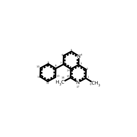 Cc1cc2nccc(-c3[c]cccc3)c2c(C)n1